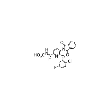 O=C(O)NNc1ccc(N2C(=O)c3ccccc3C2=O)c(Oc2cc(F)ccc2Cl)n1